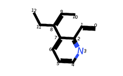 C=Cc1ncccc1/C(=C\C)CC